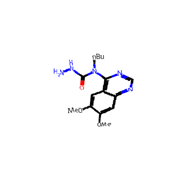 CCCCN(C(=O)NN)c1ncnc2cc(OC)c(OC)cc12